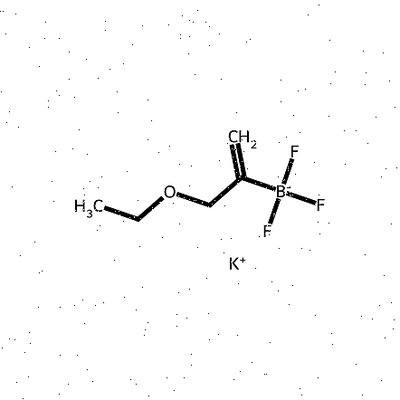 C=C(COCC)[B-](F)(F)F.[K+]